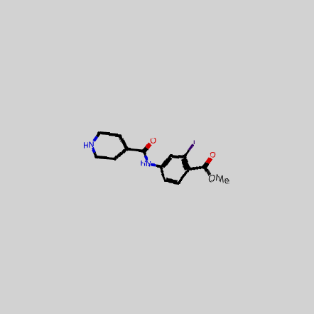 COC(=O)c1ccc(NC(=O)C2CCNCC2)cc1I